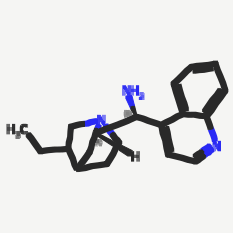 CCC1CN2CCC1C[C@H]2[C@@H](N)c1ccnc2ccccc12